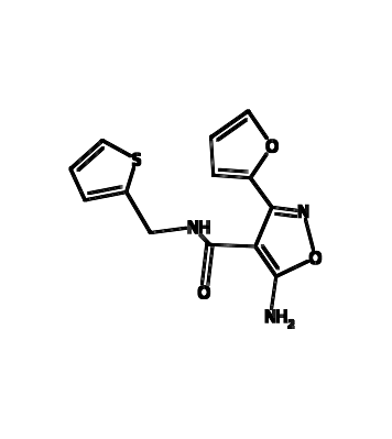 Nc1onc(-c2ccco2)c1C(=O)NCc1cccs1